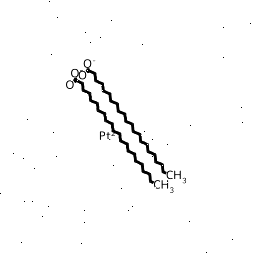 CCCCCCCCCCCCCCCCCCCCCC(=O)[O-].CCCCCCCCCCCCCCCCCCCCCC(=O)[O-].[Pt+2]